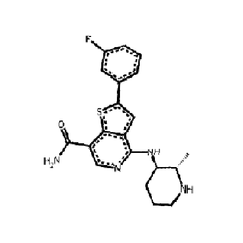 C[C@@H]1NCCC[C@H]1Nc1ncc(C(N)=O)c2sc(-c3cccc(F)c3)cc12